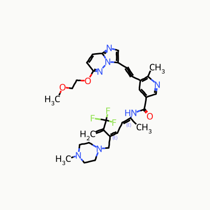 C=C(/C(=C\C=C(/C)NC(=O)c1cnc(C)c(C#Cc2cnc3ccc(OCCOC)nn23)c1)CN1CCN(C)CC1)C(F)(F)F